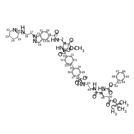 COC(=O)[C@H](CNC(=O)c1ccc2c(cnn2CCNC2=NCCCC2)c1)NS(=O)(=O)c1ccc(-c2ccc(S(=O)(=O)NCCNC(=O)[C@H](CCC(=O)OC(C)(C)C)NC(=O)OCc3ccccc3)cc2)cc1